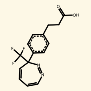 O=C(O)CCc1ccc(C2(C(F)(F)F)C=CC=CN=N2)cc1